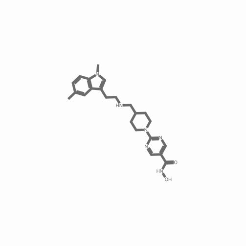 Cc1ccc2c(c1)c(CCNCC1CCN(c3ncc(C(=O)NO)cn3)CC1)cn2C